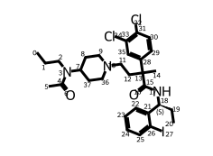 CCCN(C(C)=O)C1CCN(CCC(C)(C(=O)N[C@@H](CC)c2ccccc2I)c2ccc(Cl)c(Cl)c2)CC1